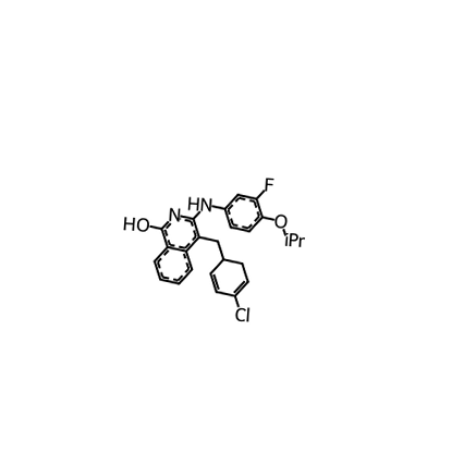 CC(C)Oc1ccc(Nc2nc(O)c3ccccc3c2CC2C=CC(Cl)=CC2)cc1F